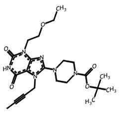 CC#CCn1c(N2CCN(C(=O)OC(C)(C)C)CC2)nc2c1c(=O)[nH]c(=O)n2CCOCC